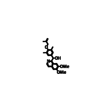 C=C(C)COc1c(C)cc(C(O)c2nccc3cc(OC)c(OC)cc23)cc1C